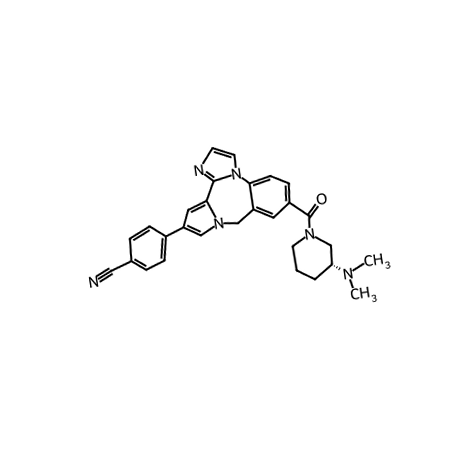 CN(C)[C@@H]1CCCN(C(=O)c2ccc3c(c2)Cn2cc(-c4ccc(C#N)cc4)cc2-c2nccn2-3)C1